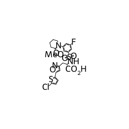 COc1c(N2CCCCC2=O)cc(F)cc1S(=O)(=O)NC(Cc1cc(-c2ccc(Cl)s2)on1)C(=O)O